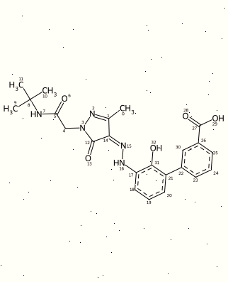 CC1=NN(CC(=O)NC(C)(C)C)C(=O)C1=NNc1cccc(-c2cccc(C(=O)O)c2)c1O